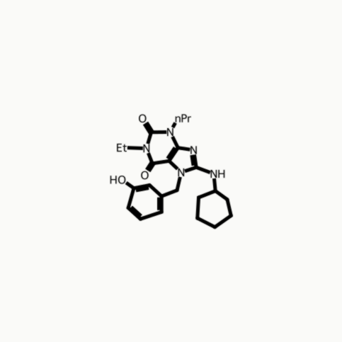 CCCn1c(=O)n(CC)c(=O)c2c1nc(NC1CCCCC1)n2Cc1cccc(O)c1